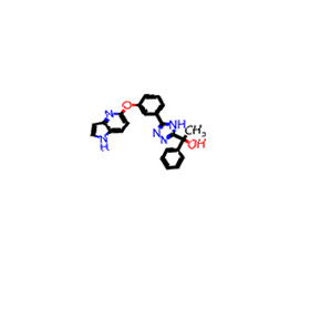 CC(O)(c1ccccc1)c1nnc(-c2cccc(Oc3ccc4[nH]ccc4n3)c2)[nH]1